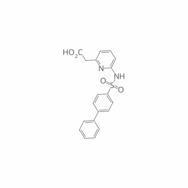 O=C(O)Cc1cccc(NS(=O)(=O)c2ccc(-c3ccccc3)cc2)n1